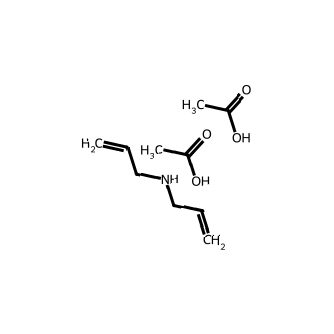 C=CCNCC=C.CC(=O)O.CC(=O)O